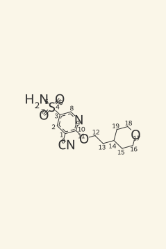 N#Cc1cc(S(N)(=O)=O)cnc1OCCC1CCOCC1